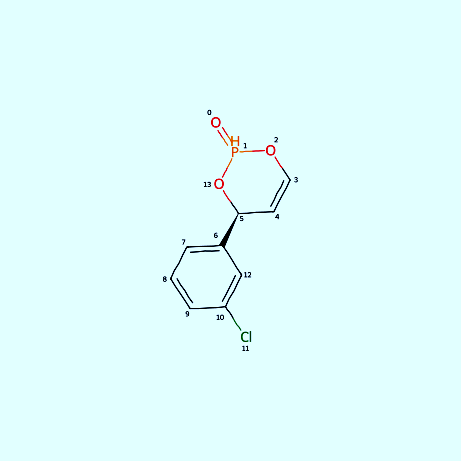 O=[PH]1OC=C[C@@H](c2cccc(Cl)c2)O1